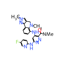 CNC(=O)c1nnc(Nc2ccc(F)cn2)cc1Nc1cccc2c1N(C)Cc1cn(C)nc1-2